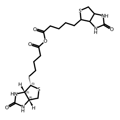 O=C1NC2CSC(CCCCC(=O)OC(=O)CCCC[C@@H]3SC[C@@H]4NC(=O)N[C@@H]43)C2N1